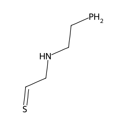 PCCNCC=S